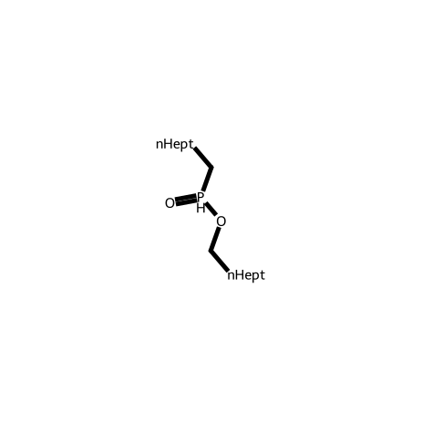 CCCCCCCCO[PH](=O)CCCCCCCC